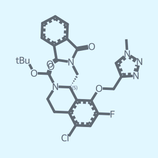 Cn1cc(COc2c(F)cc(Cl)c3c2[C@@H](CN2C(=O)c4ccccc4C2=O)N(C(=O)OC(C)(C)C)CC3)nn1